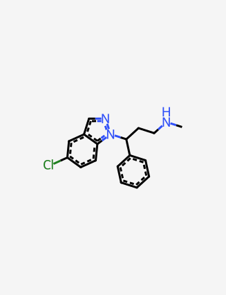 CNCCC(c1ccccc1)n1ncc2cc(Cl)ccc21